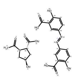 CC(=O)N1C[C@H](O)C[C@H]1C(=O)O.O=C(O)c1cc(/N=N/c2ccc(O)c(C(=O)O)c2)ccc1O